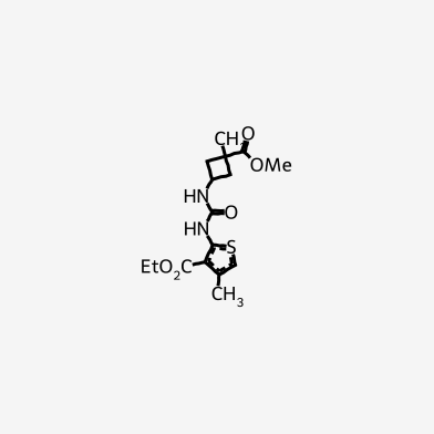 CCOC(=O)c1c(C)csc1NC(=O)NC1CC(C)(C(=O)OC)C1